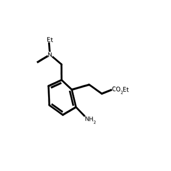 CCOC(=O)CCc1c(N)cccc1CN(C)CC